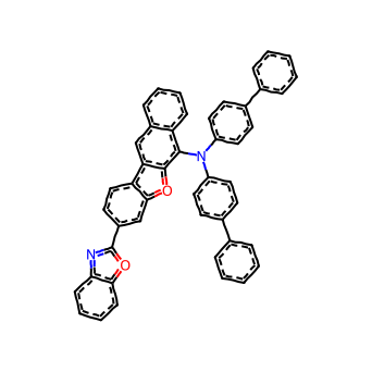 c1ccc(-c2ccc(N(c3ccc(-c4ccccc4)cc3)c3c4ccccc4cc4c3oc3cc(-c5nc6ccccc6o5)ccc34)cc2)cc1